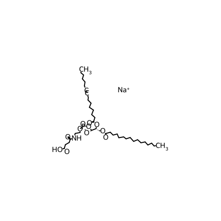 CCCCCCCCCCCCCCCC(=O)OC[C@H](COP(=O)([O-])OCCNC(=O)CCC(=O)O)OC(=O)CCCCCCCCCCCCCCC.[Na+]